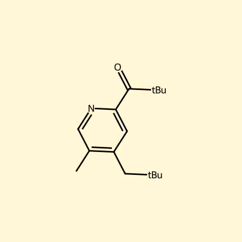 Cc1cnc(C(=O)C(C)(C)C)cc1CC(C)(C)C